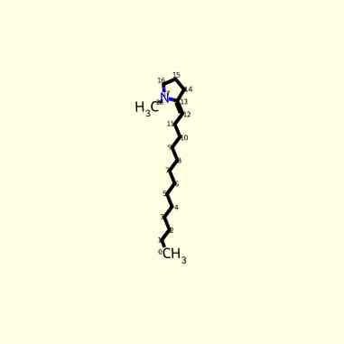 CCCCCCCCCCCCC=C1CCCN1C